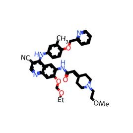 CCOCOc1cc2ncc(C#N)c(Nc3ccc(OCc4ccccn4)c(C)c3)c2cc1NC(=O)C=C1CCN(CCOC)CC1